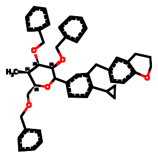 C[C@H]1[C@H](OCc2ccccc2)[C@@H](OCc2ccccc2)C(c2ccc(C3CC3)c(Cc3ccc4c(c3)CCCO4)c2)O[C@@H]1COCc1ccccc1